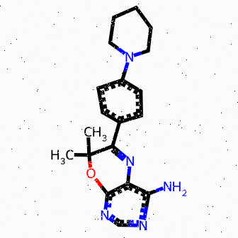 CC1(C)Oc2ncnc(N)c2N=C1c1ccc(N2CCCCC2)cc1